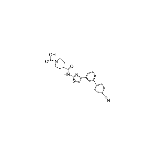 N#Cc1ccc(-c2cccc(-c3csc(NC(=O)C4CCN(C(=O)O)CC4)n3)c2)cc1